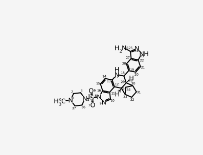 CN1CCN(S(=O)(=O)n2ncc3c4c(ccc32)NC(c2ccc3[nH]nc(N)c3c2)[C@@H]2C3CCC(C3)[C@H]42)CC1